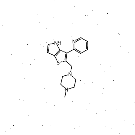 CN1CCN(Cc2sc3cc[nH]c3c2-c2ccccn2)CC1